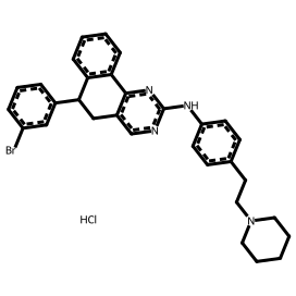 Brc1cccc(C2Cc3cnc(Nc4ccc(CCN5CCCCC5)cc4)nc3-c3ccccc32)c1.Cl